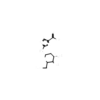 CC(=O)OCC1O[C@H](Nc2ncc(C(=O)C(F)(F)F)s2)C[C@@H](OC(C)=O)C1OC(C)=O